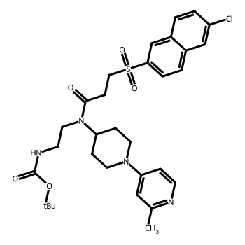 Cc1cc(N2CCC(N(CCNC(=O)OC(C)(C)C)C(=O)CCS(=O)(=O)c3ccc4cc(Cl)ccc4c3)CC2)ccn1